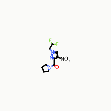 O=C(c1nn(CC(F)F)cc1[N+](=O)[O-])N1CCCC1